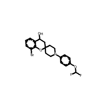 OC1CC2(CCN(c3ccc(OC(F)F)cc3)CC2)Oc2c(Br)cccc21